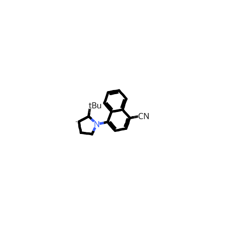 CC(C)(C)C1[CH]CCN1c1ccc(C#N)c2ccccc12